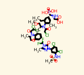 CC1COc2ccccc2N1C(=O)C(Cl)Cl.CCc1cccc(C)c1N(C(=O)CCl)C(C)COC.Cc1nn(-c2cc(NS(C)(=O)=O)c(Cl)cc2Cl)c(=O)n1C(F)F.O=C(O)CNCP(=O)(O)O